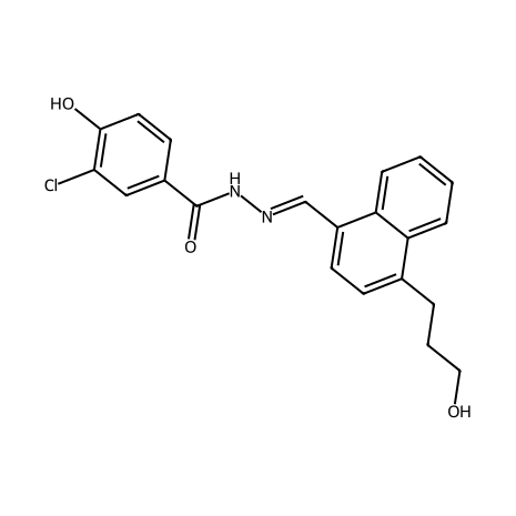 O=C(NN=Cc1ccc(CCCO)c2ccccc12)c1ccc(O)c(Cl)c1